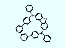 C1=CC(c2ccc(N(c3ccccc3)c3ccc4oc5ccc(N(c6ccccc6)c6ccc(-c7ccccc7)cc6)cc5c4c3)cc2)=CCC1